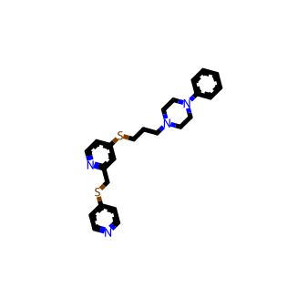 c1ccc(N2CCN(CCCSc3ccnc(CSc4ccncc4)c3)CC2)cc1